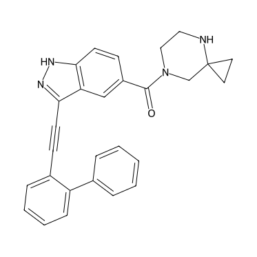 O=C(c1ccc2[nH]nc(C#Cc3ccccc3-c3ccccc3)c2c1)N1CCNC2(CC2)C1